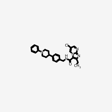 CCc1nc2ncc(Cl)cn2c1C(=O)NCc1ccc(C2CCN(c3ccccc3)CC2)cc1